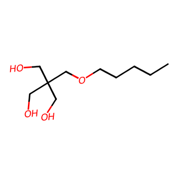 CCCCCOCC(CO)(CO)CO